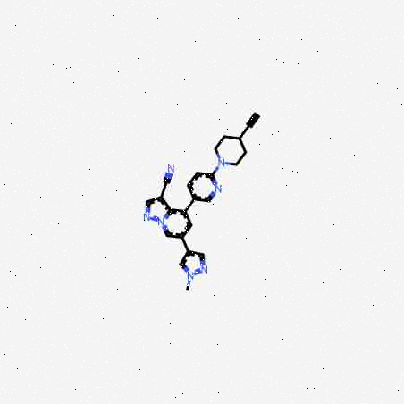 C#CC1CCN(c2ccc(-c3cc(-c4cnn(C)c4)cn4ncc(C#N)c34)cn2)CC1